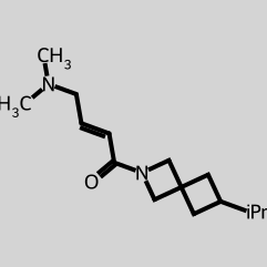 CC(C)C1CC2(C1)CN(C(=O)/C=C/CN(C)C)C2